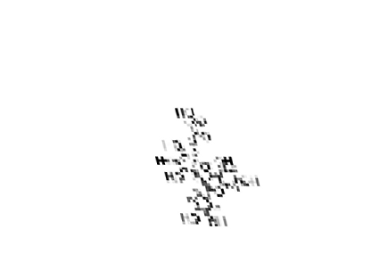 O=C(O)CC(=O)OCC1O[C@@H](Oc2c(-c3ccc(O)c(O)c3)oc3cc(O)cc(O)c3c2=O)[C@@H](O)C(O)[C@@H]1O